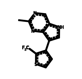 Cc1ncc2[nH]cc(-c3ccsc3C(F)(F)F)c2n1